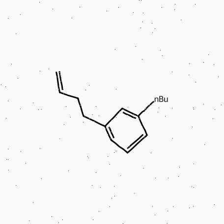 [CH2]CCCc1cccc(CCC=C)c1